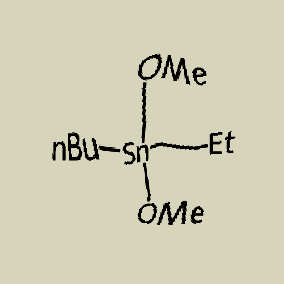 CCC[CH2][Sn]([CH2]C)([O]C)[O]C